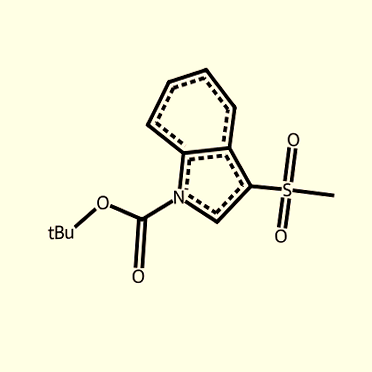 CC(C)(C)OC(=O)n1cc(S(C)(=O)=O)c2ccccc21